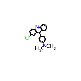 CN(C)c1ccc(-c2c3ccccc3nc3ccc(Cl)cc23)cc1